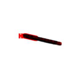 CCCCCCCCCCCCCCCCCCCCCCCCCCCCCCCCCCCCCCCCCCCCCCCCCCCOOOOOOOOOOOOOOOOOOOOOOOOO